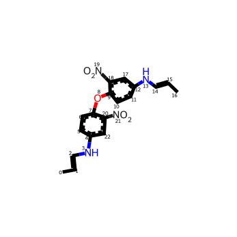 CC=CNc1ccc(Oc2ccc(NC=CC)cc2[N+](=O)[O-])c([N+](=O)[O-])c1